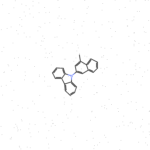 Cc1cc(-n2c3ccccc3c3ccccc32)cc2ccccc12